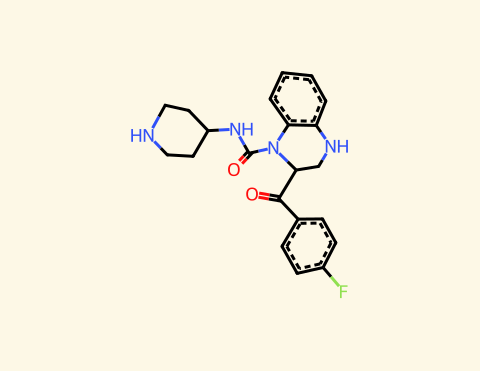 O=C(c1ccc(F)cc1)C1CNc2ccccc2N1C(=O)NC1CCNCC1